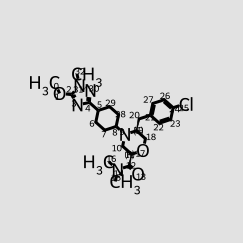 COc1nc(C2CCC(N3C[C@H](C(=O)N(C)C)OC[C@@H]3Cc3ccc(Cl)cc3)CC2)nn1C